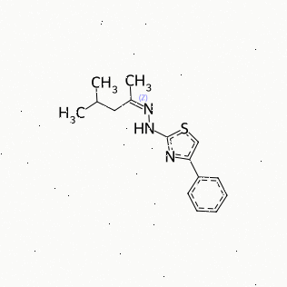 C/C(CC(C)C)=N/Nc1nc(-c2ccccc2)cs1